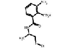 CCSCC(C)NC(=O)c1cccc([N+](=O)[O-])c1C(=O)O